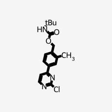 Cc1cc(-c2ccnc(Cl)n2)ccc1COC(=O)NC(C)(C)C